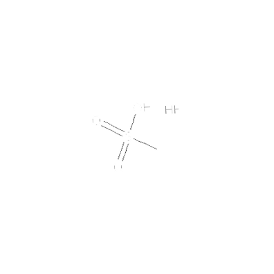 F.O=S(=O)(O)I